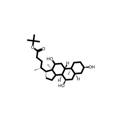 C[C@H](CCC(=O)OC(C)(C)C)[C@H]1CCC2[C@@H]3[C@H](O)C[C@@H]4C[C@H](O)CC[C@]4(C)[C@H]3CC(O)[C@@]21C